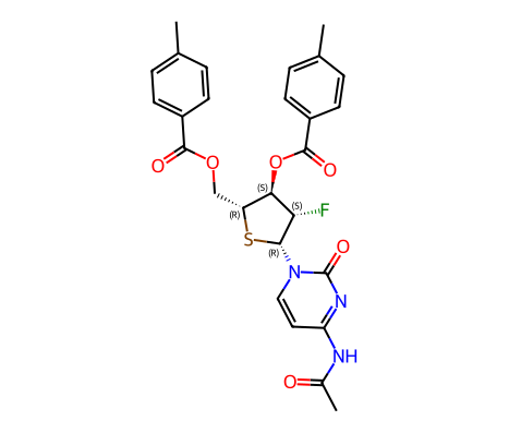 CC(=O)Nc1ccn([C@@H]2S[C@H](COC(=O)c3ccc(C)cc3)[C@@H](OC(=O)c3ccc(C)cc3)[C@@H]2F)c(=O)n1